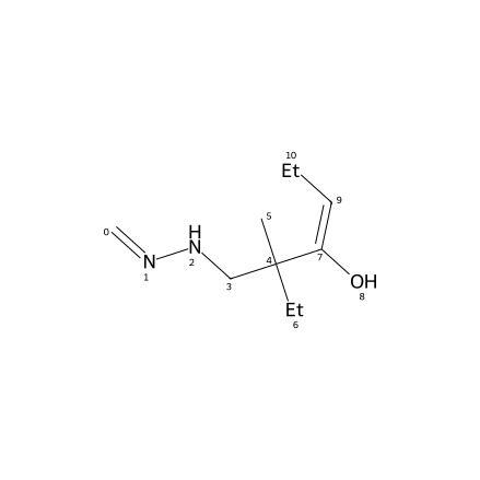 C=NNCC(C)(CC)/C(O)=C\CC